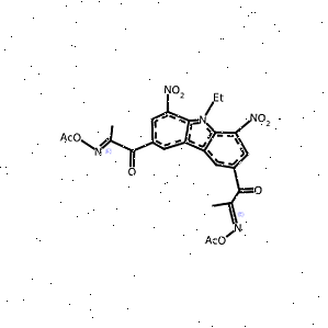 CCn1c2c([N+](=O)[O-])cc(C(=O)/C(C)=N/OC(C)=O)cc2c2cc(C(=O)/C(C)=N/OC(C)=O)cc([N+](=O)[O-])c21